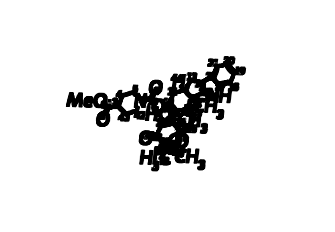 COC(=O)C1CCN(C(=O)O[C@H]2C[C@H]3Cc4c([nH]c5ccccc45)[C@]3(C)[C@@]3(C)CC[C@@]45O[C@@H](C(=O)C=C4[C@]23O)C(C)(C)O5)CC1